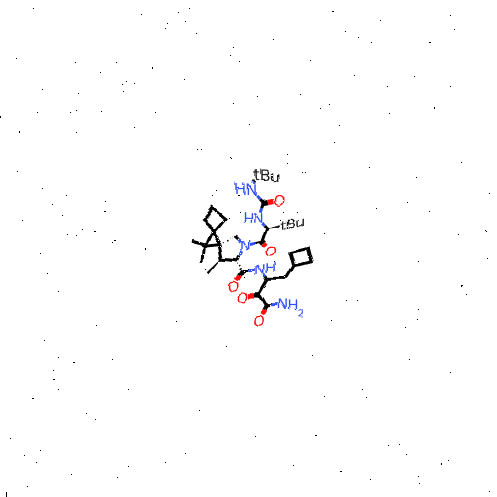 C[C@@H]1[C@@H](C(=O)NC(CC2CCC2)C(=O)C(N)=O)N(C(=O)[C@@H](NC(=O)NC(C)(C)C)C(C)(C)C)C[C@@]12C(C)(C)C21CCC1